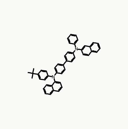 CC(C)(C)c1ccc(N(c2ccc(-c3ccc(N(c4ccccc4)c4ccc5ccccc5c4)cc3)cc2)c2cccc3ccccc23)cc1